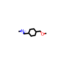 C/N=C/C1CCC(COC)CC1